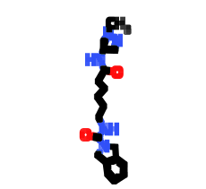 Cn1cc(NC(=O)CCCCCNC(=O)N2Cc3ccccc3C2)cn1